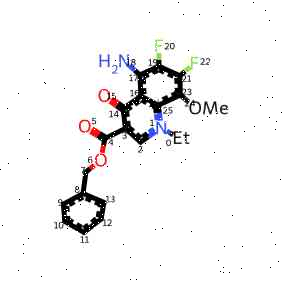 CCn1cc(C(=O)OCc2ccccc2)c(=O)c2c(N)c(F)c(F)c(OC)c21